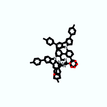 Cc1ccc(-c2ccc3c(c2)c2cc(-c4ccc(C)cc4)ccc2n3-c2ccc(-c3ccccc3C#N)cc2-c2cccc(-n3c4ccc(-c5ccc(C)cc5)cc4c4cc(-c5ccc(C)cc5)ccc43)c2-c2nc(-c3ccccc3)nc(-c3ccccc3)n2)cc1